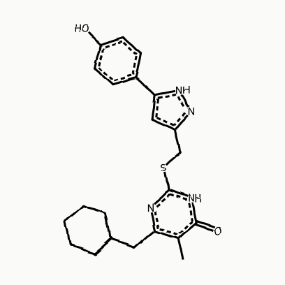 Cc1c(CC2CCCCC2)nc(SCc2cc(-c3ccc(O)cc3)[nH]n2)[nH]c1=O